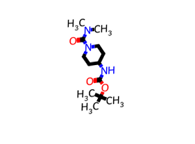 CN(C)C(=O)N1CCC(NC(=O)OC(C)(C)C)CC1